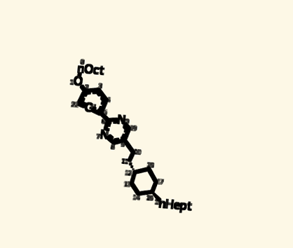 CCCCCCCCOc1ccc(-c2ncc(CC[C@H]3CC[C@H](CCCCCCC)CC3)cn2)cc1